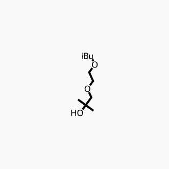 CCC(C)OCCOCC(C)(C)O